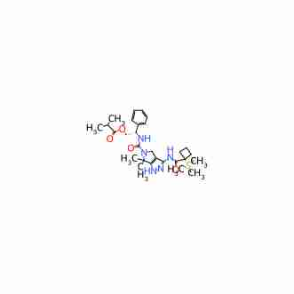 CC(C)C(=O)OC[C@@H](NC(=O)N1Cc2c(NC(=O)C3(S(C)(C)C)CCC3)n[nH]c2C1(C)C)c1ccccc1